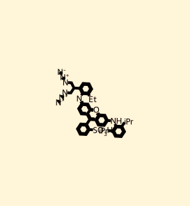 CCc1cccc(C(CN=[N+]=[N-])CN=[N+]=[N-])c1/N=c1/ccc2c(-c3ccccc3S(=O)(=O)O)c3ccc(Nc4c(C(C)C)cccc4C(C)C)cc3oc-2c1